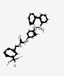 O=C(NCc1cccc(C(F)(F)F)c1)Nc1ccc(N[S+]([O-])c2ccccc2-c2ccccc2)cc1